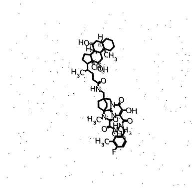 Cc1cc(CNC(=O)c2nc3n(c(=O)c2O)CC2(CNC(=O)CCC(C)C4CCC5[C@H]6C(C[C@H](O)[C@]45C)[C@@]4(C)CCCC[C@H]4C[C@H]6O)CCC3(N(C)C(=O)C(=O)N(C)C)CC2)ccc1F